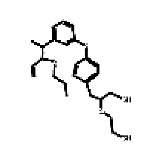 C=CC(SCCC)C(C)c1cccc(Sc2ccc(CC(CS)SCCS)cc2)c1